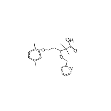 Cc1ccc(C)c(OCCC(OCc2ccccn2)C(C)(C)C(=O)O)c1